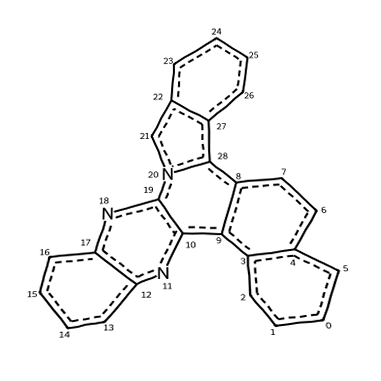 c1ccc2c(c1)ccc1c2c2nc3ccccc3nc2n2cc3ccccc3c12